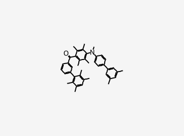 Cc1cc(C)cc(-c2ccc(N(C)c3c(C)c(C)c(C(=O)c4cccc(-c5c(C)c(C)cc(C)c5C)c4)c(C)c3C)cc2)c1